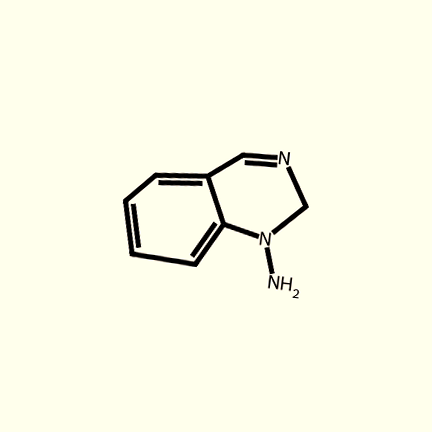 NN1CN=Cc2ccccc21